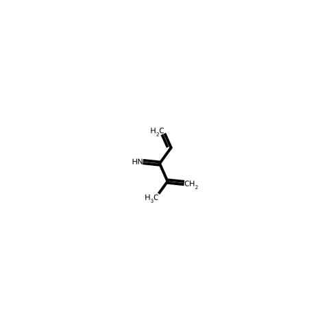 C=CC(=N)C(=C)C